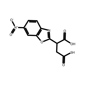 O=C(S)CC(C(=O)O)c1nc2ccc([N+](=O)[O-])cc2o1